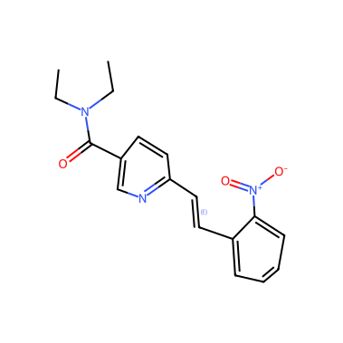 CCN(CC)C(=O)c1ccc(/C=C/c2ccccc2[N+](=O)[O-])nc1